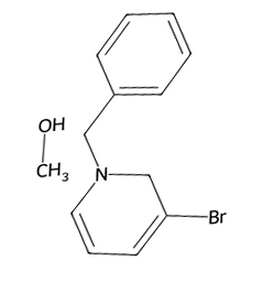 BrC1=CC=CN(Cc2ccccc2)C1.CO